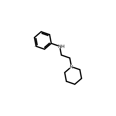 [c]1cccc(NCCN2CCCCC2)c1